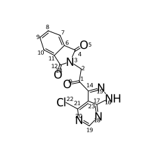 O=C(CN1C(=O)c2ccccc2C1=O)c1n[nH]c2ncnc(Cl)c12